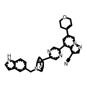 N#Cc1cnn2cc(C3=CCOCC3)cc(-c3cnc(N4CC5=CC6C(C64)N5Cc4ccc5[nH]ccc5c4)cn3)c12